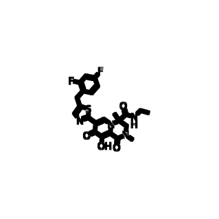 CCNC(=O)C1(C)CN(C)C(=O)c2c(O)c(=O)c(-c3ncc(Cc4ccc(F)cc4F)s3)cn21